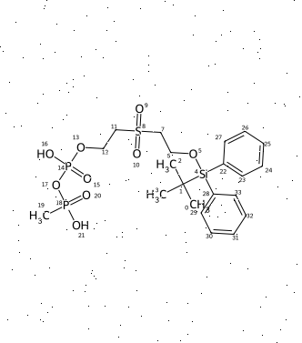 CC(C)(C)[Si](OCCS(=O)(=O)CCOP(=O)(O)OP(C)(=O)O)(c1ccccc1)c1ccccc1